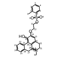 Cc1ccccc1S(=O)(=O)OCCOc1cc2c3c(c1O)-c1ccccc1C[C@H]3N(C)CC2